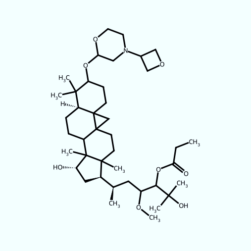 CCC(=O)OC(C(C[C@@H](C)[C@H]1C[C@H](O)C2(C)C3CC[C@H]4C(C)(C)C(OC5CN(C6COC6)CCO5)CCC45CC35CCC12C)OC)C(C)(C)O